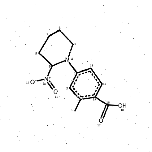 Cc1cc(N2CCCCC2[N+](=O)[O-])ccc1C(=O)O